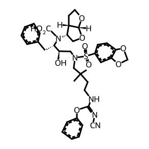 CC(C)(CCNC(=NC#N)Oc1ccccc1)CN(C[C@@H](O)[C@H](Cc1ccccc1)N(C(=O)O)[C@H]1CO[C@H]2OCC[C@H]21)S(=O)(=O)c1ccc2c(c1)OCO2